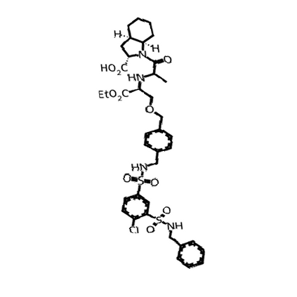 CCOC(=O)[C@H](COCc1ccc(CNS(=O)(=O)c2ccc(Cl)c(S(=O)(=O)NCc3ccccc3)c2)cc1)NC(C)C(=O)N1[C@@H]2CCCC[C@@H]2C[C@H]1C(=O)O